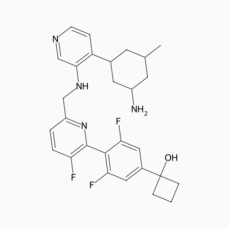 CC1CC(N)CC(c2ccncc2NCc2ccc(F)c(-c3c(F)cc(C4(O)CCC4)cc3F)n2)C1